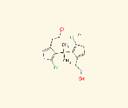 CC(C)(C1=C(Cl)CC=C1CCO)C1=C(Cl)CC=C1CCO.[Zr]